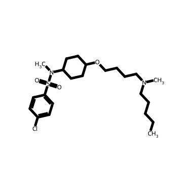 CCCCCN(C)CCCCOC1CCC(N(C)S(=O)(=O)c2ccc(Cl)cc2)CC1